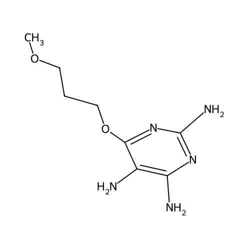 COCCCOc1nc(N)nc(N)c1N